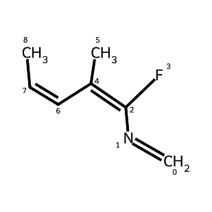 C=N/C(F)=C(C)\C=C/C